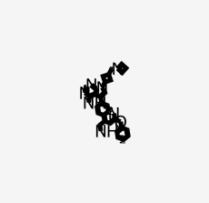 NCc1cc(Oc2ccccc2)nc2cc(-c3cn(C4CC(CN5CCC5)C4)c4ncnc(N)c34)ccc12